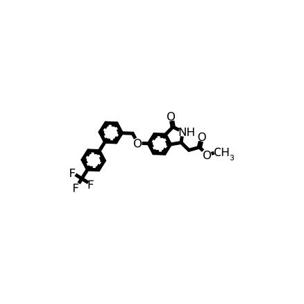 COC(=O)CC1NC(=O)c2cc(OCc3cccc(-c4ccc(C(F)(F)F)cc4)c3)ccc21